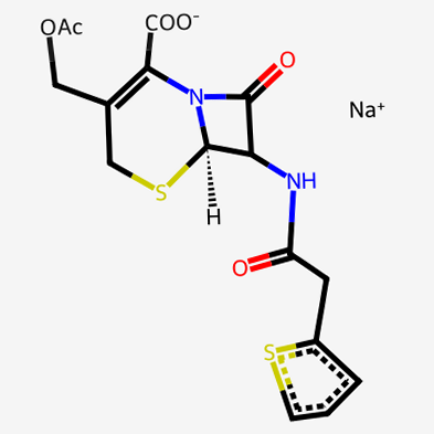 CC(=O)OCC1=C(C(=O)[O-])N2C(=O)C(NC(=O)Cc3cccs3)[C@H]2SC1.[Na+]